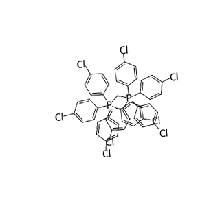 Clc1ccc(P(CP(c2ccc(Cl)cc2)(c2ccc(Cl)cc2)(c2ccc(Cl)cc2)c2ccc(Cl)cc2)(c2ccc(Cl)cc2)(c2ccc(Cl)cc2)c2ccc(Cl)cc2)cc1